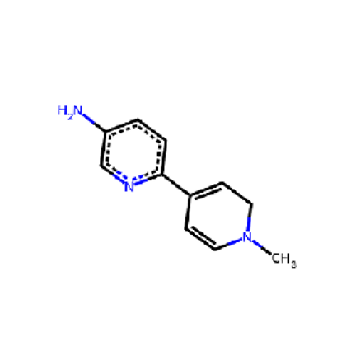 CN1C=CC(c2ccc(N)cn2)=CC1